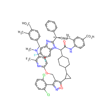 CO[C@H](c1ccccc1)c1nc2cc(F)c(F)cc2n1C(C(=O)Nc1ccc(C(=O)O)cc1C)C1CCC(C2CC2c2onc(-c3c(Cl)cccc3Cl)c2COc2ccc(N(C)Cc3ccc(C(=O)O)c(C)c3)c(C(F)(F)F)n2)CC1